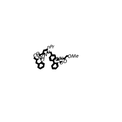 CCCc1cc(C(=O)NC(CC(=O)O)Cc2ccccc2Cl)nn1Cc1ccc(-c2ccccc2S(=O)(=O)NC(=O)COC)cc1